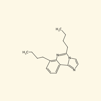 CCCCc1cccc2c1nc(CCCC)n1ccnc21